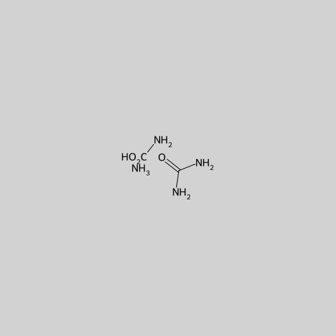 N.NC(=O)O.NC(N)=O